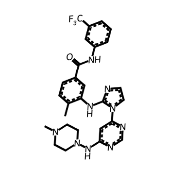 Cc1ccc(C(=O)Nc2cccc(C(F)(F)F)c2)cc1Nc1nccn1-c1cc(NN2CCN(C)CC2)ncn1